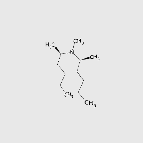 CCCC[C@@H](C)N(C)[C@@H](C)CCCC